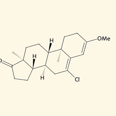 COC1=CC2=C(Cl)C[C@@H]3[C@H](CC[C@]4(C)C(=O)CC[C@@H]34)[C@@]2(C)CC1